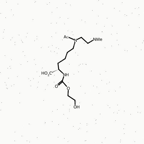 CNCCN(CCCC[C@H](NC(=O)OCCO)C(=O)O)C(C)=O